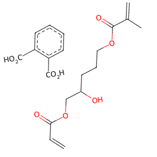 C=CC(=O)OCC(O)CCCOC(=O)C(=C)C.O=C(O)c1ccccc1C(=O)O